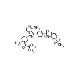 C[C@H]1CC[C@@H](c2nc(-c3ccc(C(=O)Nc4cc(C(C)(F)F)ccn4)cc3)c3c(N)nccn23)CN1C(=O)N(C)C